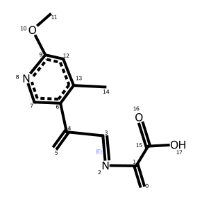 C=C(/N=C/C(=C)c1cnc(OC)cc1C)C(=O)O